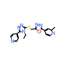 CCn1c(SCc2nnc(-c3ccnc(C)c3)o2)nnc1-c1ccncc1